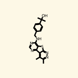 Cc1nnc2sc3c(NCc4ccc(C(C)(C)O)cc4)ncnc3c2c1C